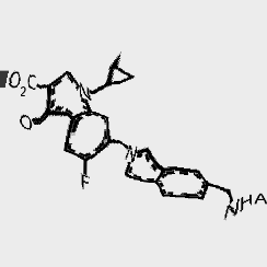 CC(=O)NCc1ccc2cn(-c3cc4c(cc3F)c(=O)c(C(=O)O)cn4C3CC3)cc2c1